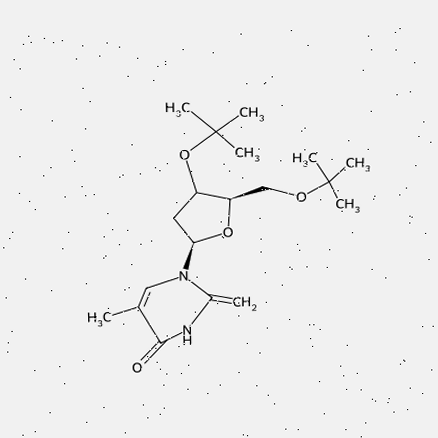 C=C1NC(=O)C(C)=CN1[C@H]1CC(OC(C)(C)C)[C@@H](COC(C)(C)C)O1